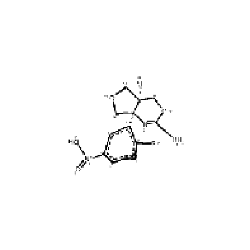 NC1=N[C@@]2(c3cc([N+](=O)O)ccc3F)COC[C@H]2CO1